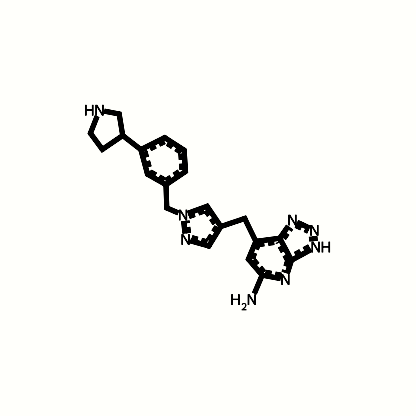 Nc1cc(Cc2cnn(Cc3cccc(C4CCNC4)c3)c2)c2nn[nH]c2n1